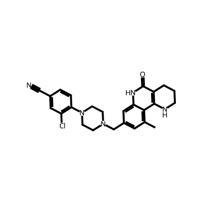 Cc1cc(CN2CCN(c3ccc(C#N)cc3Cl)CC2)cc2[nH]c(=O)c3c(c12)NCCC3